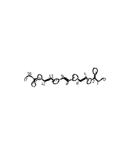 CCC(=O)OC=COC=COC=COC(=O)CC